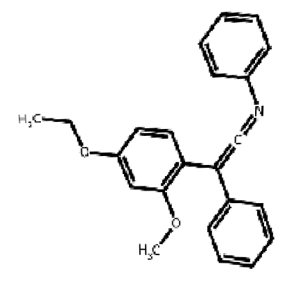 CCOc1ccc(C(=C=Nc2ccccc2)c2ccccc2)c(OC)c1